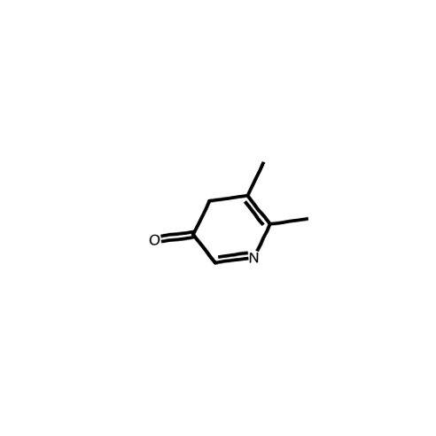 CC1=C(C)N=CC(=O)C1